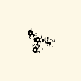 Cc1c(Cl)cccc1NC(=O)c1cc(NC(=O)c2cc(Cl)ccc2Cl)cc2[nH]c(NCC(C)(C)CO)nc12